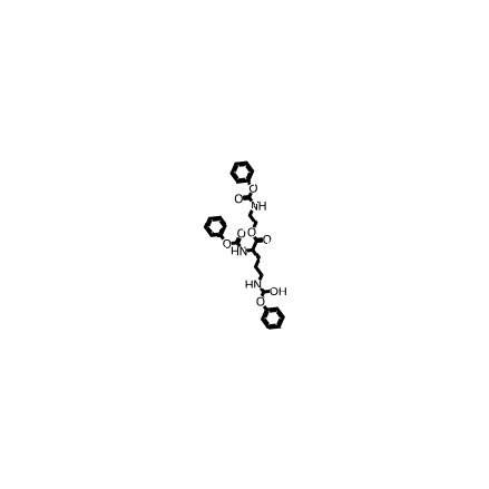 O=C(NCCOC(=O)C(CCCNC(O)Oc1ccccc1)NC(=O)Oc1ccccc1)Oc1ccccc1